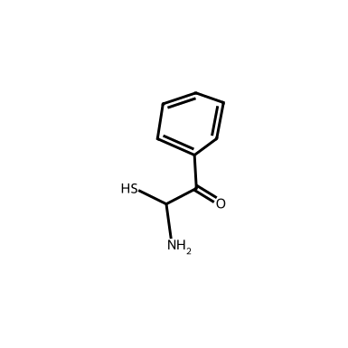 NC(S)C(=O)c1ccccc1